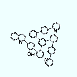 Oc1cc(-c2ccc3ccccc3n2)ccc1-c1ccccc1-c1cc(-c2ccccc2-c2ccc(-c3ccccn3)cc2)cc(-c2ccccc2-c2ccc(-c3ccccn3)cc2)c1